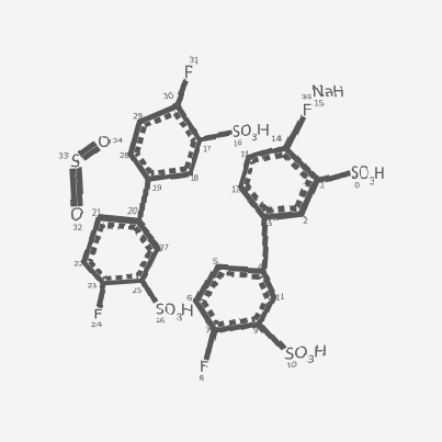 O=S(=O)(O)c1cc(-c2ccc(F)c(S(=O)(=O)O)c2)ccc1F.O=S(=O)(O)c1cc(-c2ccc(F)c(S(=O)(=O)O)c2)ccc1F.O=S=O.[NaH]